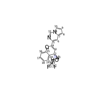 O/N=c1/cc(-c2cc3cccn3cn2)oc2cccc(C(F)(F)F)c12